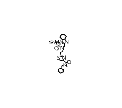 CN(Cc1ccccc1)C(=O)c1csc(CCN(Cc2nc3ccccc3[nH]2)C(=O)OC(C)(C)C)n1